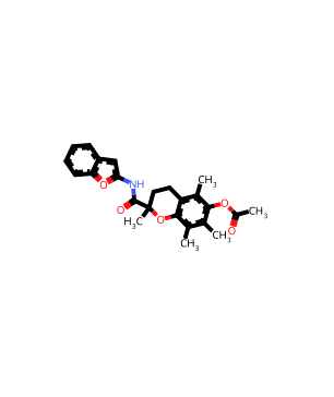 CC(=O)Oc1c(C)c(C)c2c(c1C)CCC(C)(C(=O)Nc1cc3ccccc3o1)O2